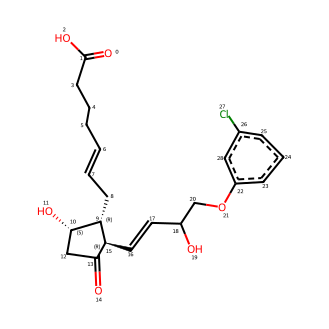 O=C(O)CCCC=CC[C@H]1[C@@H](O)CC(=O)[C@@H]1C=CC(O)COc1cccc(Cl)c1